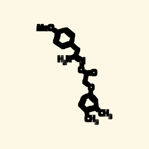 COc1ccc(C/C(N)=N/OC(=O)COc2ccc(C)c(C)c2)cc1